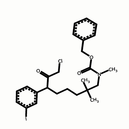 CN(CC(C)(C)CCCC(C(=O)CCl)c1cccc(I)c1)C(=O)OCc1ccccc1